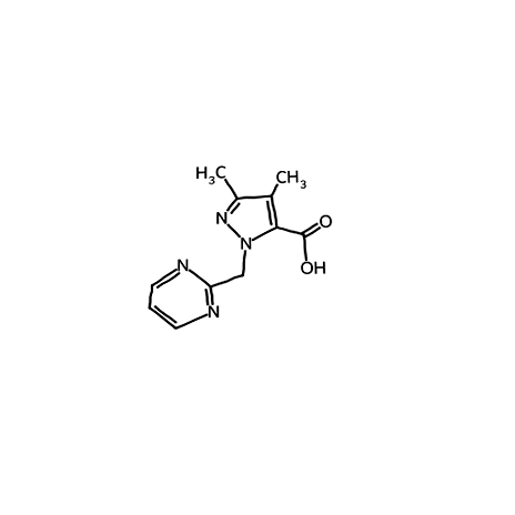 Cc1nn(Cc2ncccn2)c(C(=O)O)c1C